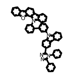 c1ccc(-c2nnc(-c3ccc4c(c3)c3ccccc3n4-c3cccc(-c4ccccc4-n4c5ccccc5c5ccc6c7ccccc7oc6c54)c3)n2-c2ccccc2)cc1